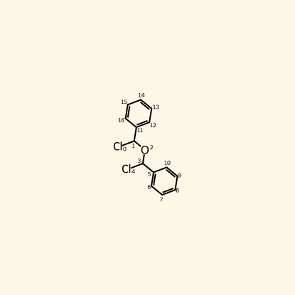 ClC(OC(Cl)c1ccccc1)c1ccccc1